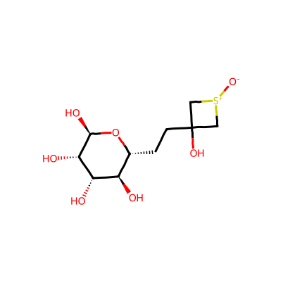 [O-][S+]1CC(O)(CC[C@H]2O[C@H](O)[C@@H](O)[C@@H](O)[C@@H]2O)C1